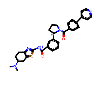 CN(C)[C@H]1CCc2nc(NC(=O)c3cccc([C@H]4CCCN4C(=O)c4ccc(-c5ccncc5)cc4)c3)sc2C1